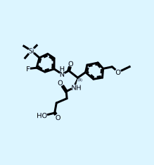 COCc1ccc([C@@H](NC(=O)CCC(=O)O)C(=O)Nc2ccc([Si](C)(C)C)c(F)c2)cc1